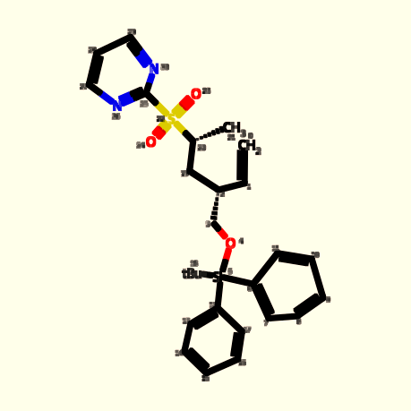 C=C[C@H](CO[Si](c1ccccc1)(c1ccccc1)C(C)(C)C)C[C@@H](C)S(=O)(=O)c1ncccn1